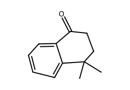 CC1(C)CCC(=O)c2ccccc21